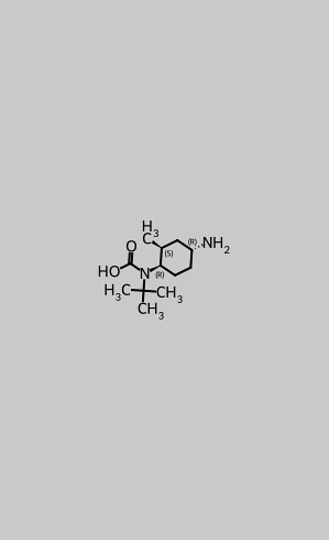 C[C@H]1C[C@H](N)CC[C@H]1N(C(=O)O)C(C)(C)C